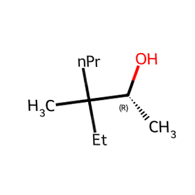 CCCC(C)(CC)[C@@H](C)O